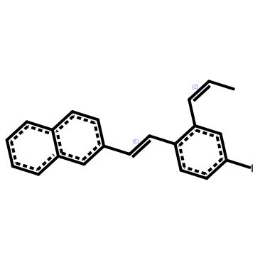 C/C=C\c1cc(I)ccc1/C=C/c1ccc2ccccc2c1